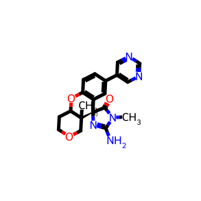 CN1C(=O)[C@]2(N=C1N)c1cc(-c3cncnc3)ccc1OC1CCOCC12C